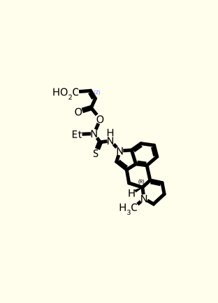 CCN(OC(=O)/C=C\C(=O)O)C(=S)Nn1cc2c3c(cccc31)C1=CCCN(C)[C@@H]1C2